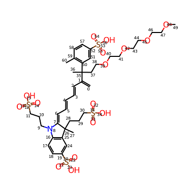 C=C(/C=C/C=C/C=C1/N(CCCS(=O)(=O)O)c2ccc(S(=O)(=O)O)cc2C1(C)CCCS(=O)(=O)O)C(C)(CCOCCOCCOCCOC)c1cc(S(=O)(=O)O)ccc1C